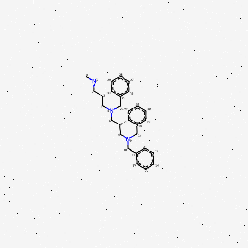 C[N]CCCN(CCCN(Cc1ccccc1)Cc1ccccc1)Cc1ccccc1